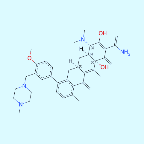 C=C(N)C1=C(O)[C@@H](N(C)C)[C@@H]2C[C@@H]3Cc4c(-c5ccc(OC)c(CN6CCN(C)CC6)c5)ccc(C)c4C(=C)C3=C(C)[C@]2(O)C1=C